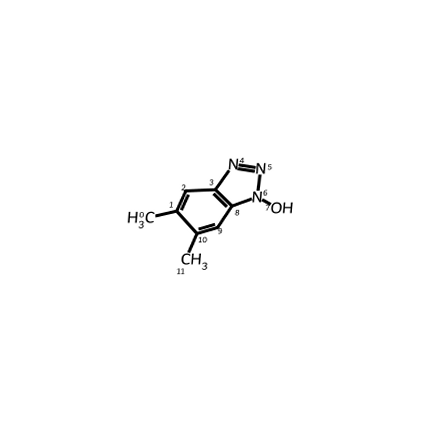 Cc1cc2nnn(O)c2cc1C